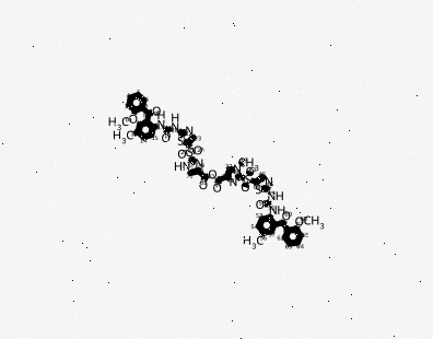 COc1ccccc1C(=O)c1cc(C)ccc1NC(=O)Nc1ncc(S(=O)(=O)c2nc(C(=O)OC(=O)c3cn(C)c(S(=O)(=O)c4cnc(NC(=O)Nc5ccc(C)cc5C(=O)c5ccccc5OC)s4)n3)c[nH]2)s1